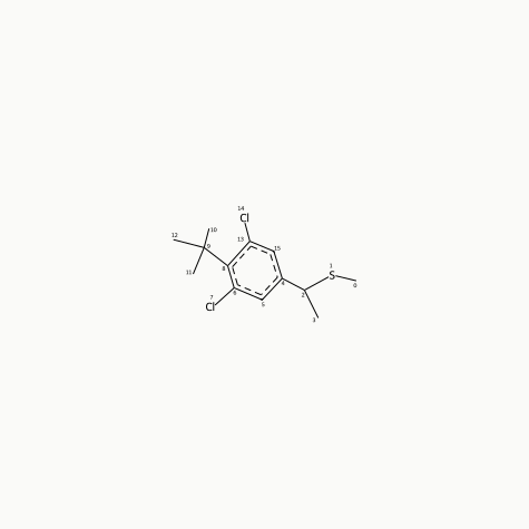 CSC(C)c1cc(Cl)c(C(C)(C)C)c(Cl)c1